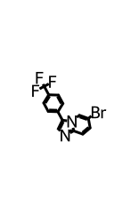 FC(F)(F)c1ccc(-c2cnc3ccc(Br)cn23)cc1